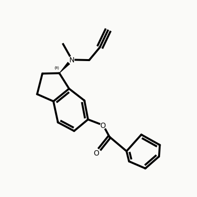 C#CCN(C)[C@@H]1CCc2ccc(OC(=O)c3ccccc3)cc21